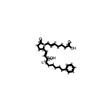 C[C@@H](CCCCCc1ccccc1)[C@H](O)C=CC1CCC(=O)N1CC=CCCCC(=O)O